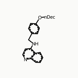 CCCCCCCCCCOc1ccc(CNc2ccnc3ccccc23)cc1